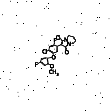 COc1cc(F)ccc1Oc1cc(-c2c(Cl)n3n(c2=O)CCCC3)c(F)cc1Cl